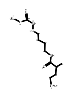 COCCC(C)C(=O)NCCCCONC(=O)OC(C)(C)C